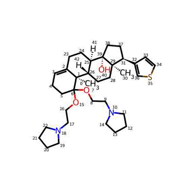 C[C@@]12C(=CCCC1(OCCN1CCCC1)OCCN1CCCC1)CC[C@@H]1[C@@H]2CC[C@]2(C)[C@H](c3ccsc3)CC[C@]12O